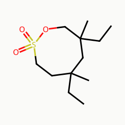 CCC1(C)CCS(=O)(=O)OCC(C)(CC)C1